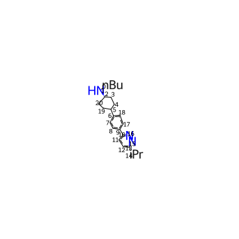 CCCCNC1CCC(c2ccc(-c3ccc(C(C)C)nn3)cc2)CC1